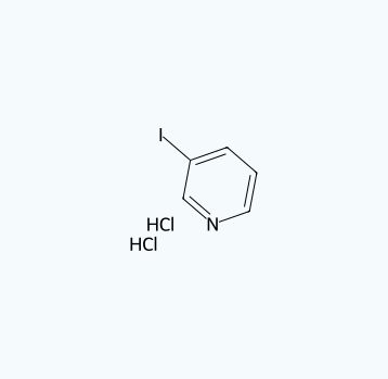 Cl.Cl.Ic1cccnc1